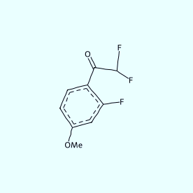 COc1ccc(C(=O)C(F)F)c(F)c1